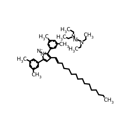 CCCCCCCCCCCCCCC=CC1=C(c2cc(C)cc(C)c2)[N+](=[N-])C(c2cc(C)cc(C)c2)=C1.CC[N](CC)[Ni][N](CC)CC